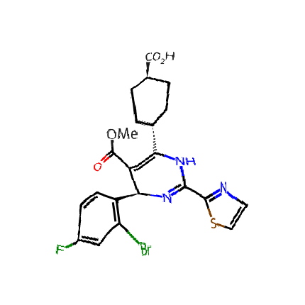 COC(=O)C1=C([C@H]2CC[C@H](C(=O)O)CC2)NC(c2nccs2)=N[C@H]1c1ccc(F)cc1Br